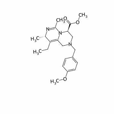 CCC1=C2CN(Cc3ccc(OC)cc3)C[C@H](C(=O)OC)N2C(C)=N[C@H]1C